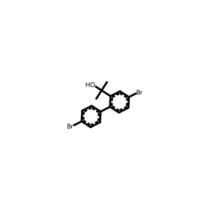 CC(C)(O)c1cc(Br)ccc1-c1ccc(Br)cc1